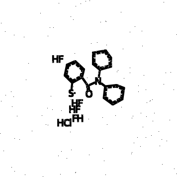 Cl.F.F.F.F.O=C(c1ccccc1[S])N(c1ccccc1)c1ccccc1